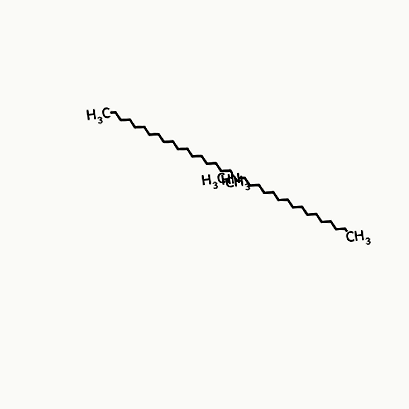 CC.CCCCCCCCCCCCCCCCCCNCCCCCCCCCCCCCCCC